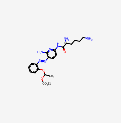 CCOC(=O)OC(C)Oc1ccccc1/N=N/c1ccc(NC(=O)[C@@H](N)CCCCN)nc1N